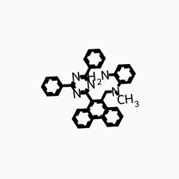 CN(Cc1c(-c2nc(-c3ccccc3)nc(-c3ccccc3)n2)c2ccccc2c2ccccc12)c1ccccc1N